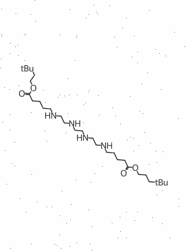 CC(C)(C)CCCOC(=O)CCCCNCCNCCNCCNCCCCC(=O)OCCC(C)(C)C